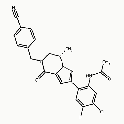 CC(=O)Nc1cc(Cl)c(F)cc1-c1cc2n(n1)[C@@H](C)CN(Cc1ccc(C#N)cc1)C2=O